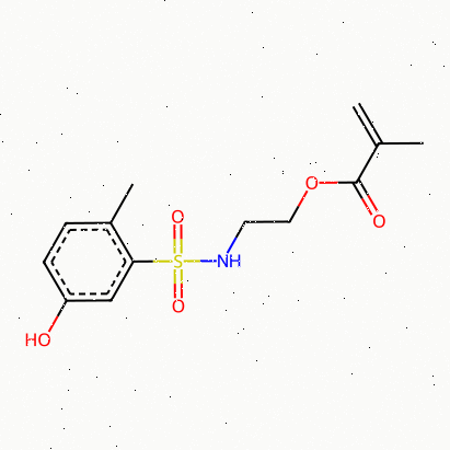 C=C(C)C(=O)OCCNS(=O)(=O)c1cc(O)ccc1C